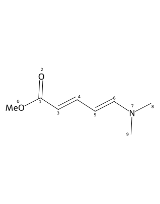 COC(=O)C=CC=CN(C)C